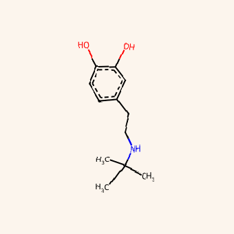 CC(C)(C)NCCc1ccc(O)c(O)c1